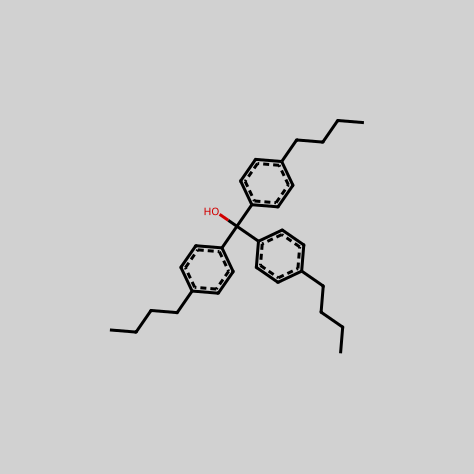 CCCCc1ccc(C(O)(c2ccc(CCCC)cc2)c2ccc(CCCC)cc2)cc1